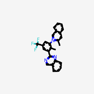 Cc1c(-c2ncc3ccccc3n2)cc(C(F)(F)F)cc1-[n+]1cc2ccccc2cc1C